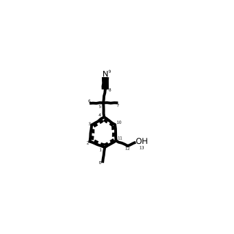 Cc1ccc(C(C)(C)C#N)cc1CO